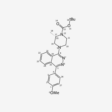 COc1ccc(-c2nnc(N3CCN(C(=O)OC(C)(C)C)[C@@H](C)C3)c3ccccc23)cc1